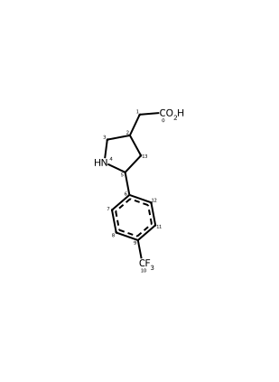 O=C(O)CC1CNC(c2ccc(C(F)(F)F)cc2)C1